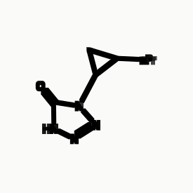 CCCC1CC1n1nn[nH]c1=O